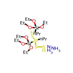 CCCS(S)(SS)[Si](OCC)(OCC)OCC.CCC[Si](OCC)(OCC)OCC.N.N